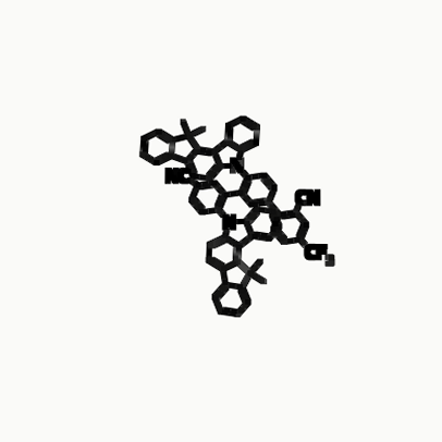 CC1(C)c2ccccc2-c2ccc3c(c21)c1ccccc1n3-c1ccc(C#N)cc1-c1cc(-c2ccc(C(F)(F)F)cc2C#N)ccc1-n1c2ccccc2c2c3c(ccc21)-c1ccccc1C3(C)C